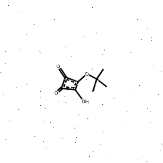 CC(C)(C)Oc1c(O)c(=O)c1=O